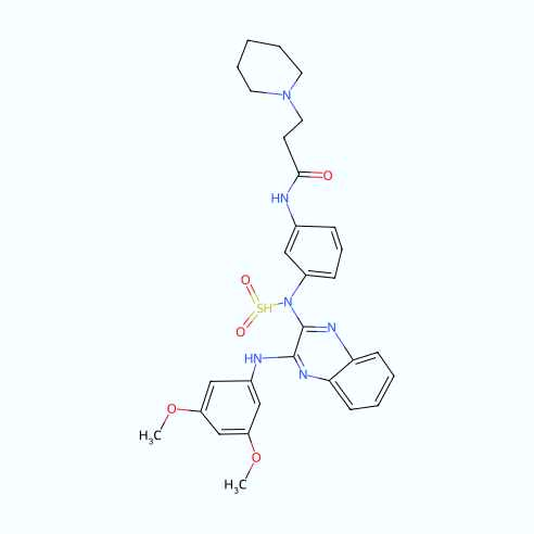 COc1cc(Nc2nc3ccccc3nc2N(c2cccc(NC(=O)CCN3CCCCC3)c2)[SH](=O)=O)cc(OC)c1